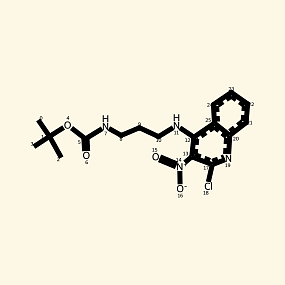 CC(C)(C)OC(=O)NCCCNc1c([N+](=O)[O-])c(Cl)nc2ccccc12